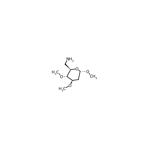 CO[C@@H]1C[C@@H](OC)[C@H](OC)[C@@H](CN)O1